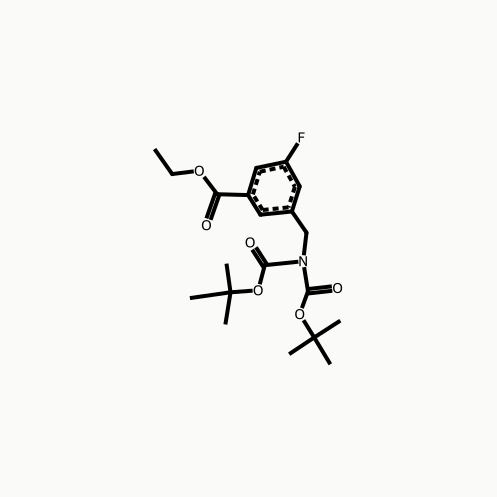 CCOC(=O)c1cc(F)cc(CN(C(=O)OC(C)(C)C)C(=O)OC(C)(C)C)c1